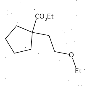 CCOCCC1(C(=O)OCC)CCCC1